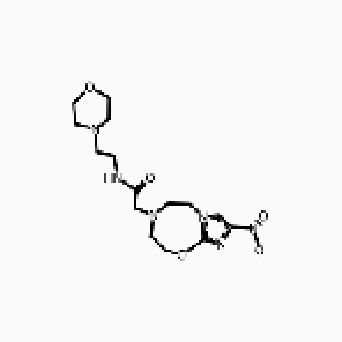 O=C(CN1CCOc2nc([N+](=O)[O-])cn2CC1)NCCN1CCOCC1